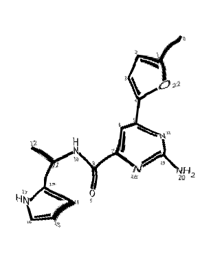 Cc1ccc(-c2cc(C(=O)NC(C)c3ccc[nH]3)nc(N)n2)o1